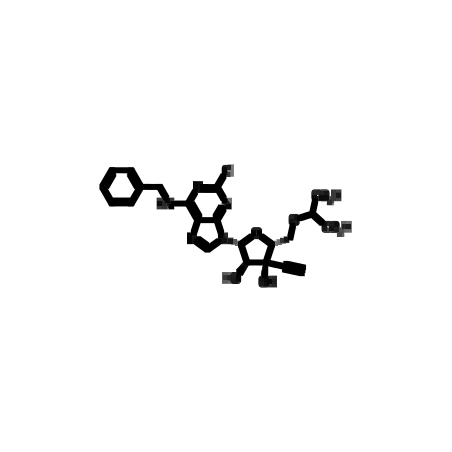 C#C[C@@]1(O)[C@@H](COC(C(=O)O)C(=O)O)O[C@@H](n2cnc3c(NCc4ccccc4)nc(Cl)nc32)[C@@H]1O